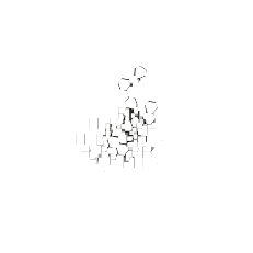 Bc1c(B)c(N(c2ccc(-c3cccc4c3oc3ccccc34)cc2)c2cccc3ccccc23)c(B)c(B)c1-c1c(B)c(B)c(B)c2c(B)c(B)c(B)c(B)c12